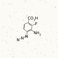 [N-]=[N+]=Nc1ccc(C(=O)O)c(F)c1N